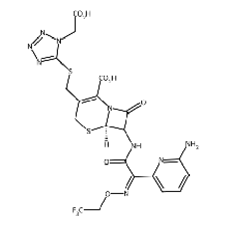 Nc1cccc(/C(=N/OCC(F)(F)F)C(=O)NC2C(=O)N3C(C(=O)O)=C(CSc4nnnn4CC(=O)O)CS[C@H]23)n1